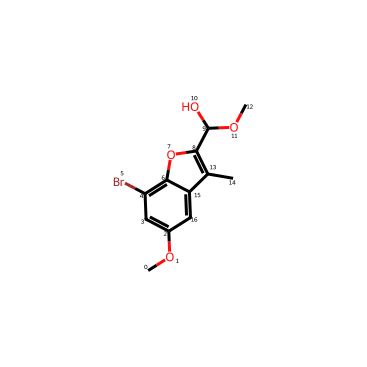 COc1cc(Br)c2oc(C(O)OC)c(C)c2c1